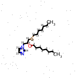 CCCCCCCCOC(CSCCCCCCC)Cn1ccnc1